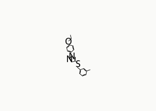 CCOc1ccc(-n2cc(SCc3cccc(C)c3)cn2)cc1